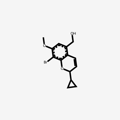 COc1cc(CO)c2c(c1Br)OC(C1CC1)C=C2